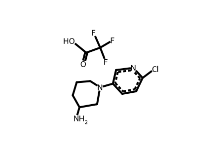 NC1CCCN(c2ccc(Cl)nc2)C1.O=C(O)C(F)(F)F